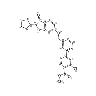 COC(=O)c1ccc(-c2cccc(COc3ccc4c(=O)n(C5CCCC5)oc4c3)c2)cc1Cl